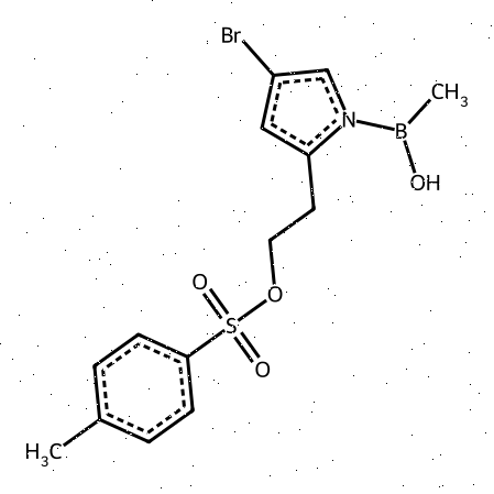 CB(O)n1cc(Br)cc1CCOS(=O)(=O)c1ccc(C)cc1